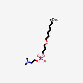 CCCCCCCCCCCCCCCCOCCCOP(=O)(O)OCCN(C)C